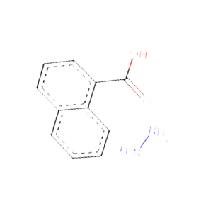 NN.O=C(O)c1cccc2ccccc12